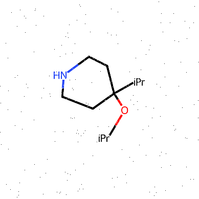 CC(C)OC1(C(C)C)CCNCC1